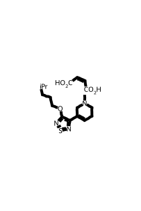 CC(C)CCCOc1nsnc1C1=CCCN(C)C1.O=C(O)/C=C\C(=O)O